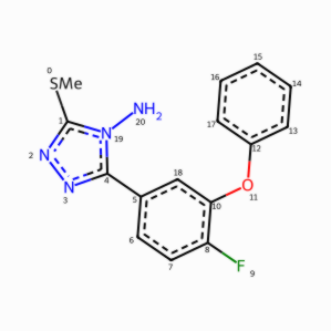 CSc1nnc(-c2ccc(F)c(Oc3ccccc3)c2)n1N